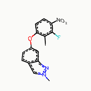 Cc1c(Oc2ccc3cn(C)nc3c2)ccc([N+](=O)[O-])c1F